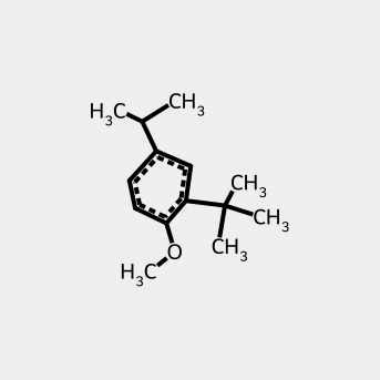 COc1ccc(C(C)C)cc1C(C)(C)C